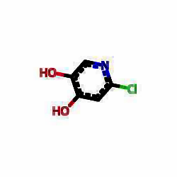 Oc1cnc(Cl)cc1O